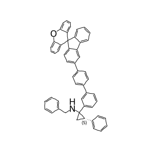 c1ccc(CNC2(c3cccc(-c4ccc(-c5ccc6c(c5)-c5ccccc5C65c6ccccc6Oc6ccccc65)cc4)c3)C[C@H]2c2ccccc2)cc1